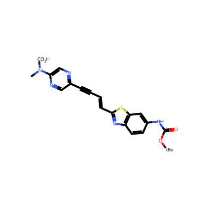 CN(C(=O)O)c1cnc(C#CC=Cc2nc3ccc(NC(=O)OC(C)(C)C)cc3s2)cn1